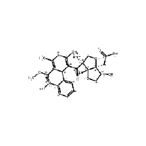 COC(=O)C1=C(C)NC(C)=C(C(=O)[C@@]2(O)CO[C@@]3(CC(=O)O)[C@@H](O)CO[C@@H]32)C1c1ccccc1[N+](=O)[O-]